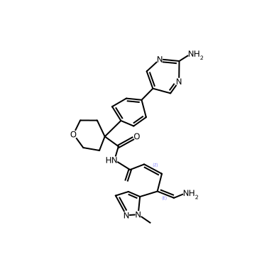 C=C(/C=C\C(=C/N)c1ccnn1C)NC(=O)C1(c2ccc(-c3cnc(N)nc3)cc2)CCOCC1